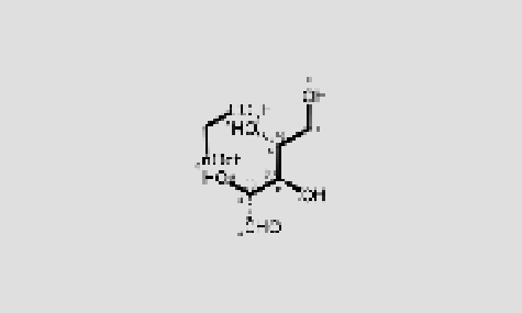 CCCCCCCCCC(=O)O.O=C[C@H](O)[C@H](O)[C@H](O)CO